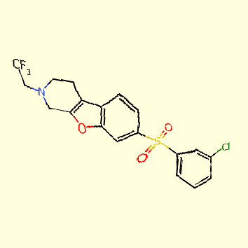 O=S(=O)(c1cccc(Cl)c1)c1ccc2c3c(oc2c1)CN(CC(F)(F)F)CC3